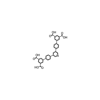 O=C(O)c1cc(C(=O)O)cc(-c2ccc(-c3cncc(-c4ccc(-c5cc(C(=O)O)cc(C(=O)O)c5)cc4)c3)cc2)c1